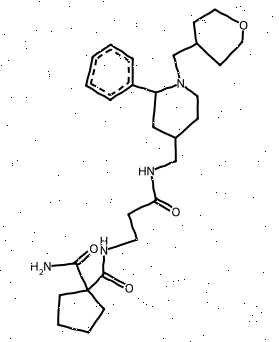 NC(=O)C1(C(=O)NCCC(=O)NCC2CCN(CC3CCOCC3)C(c3ccccc3)C2)CCCC1